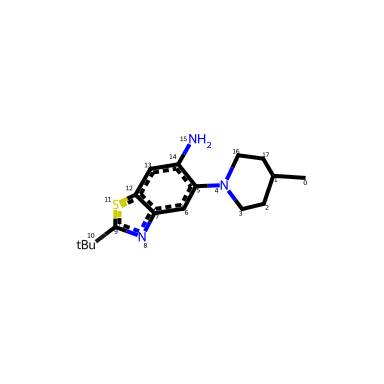 CC1CCN(c2cc3nc(C(C)(C)C)sc3cc2N)CC1